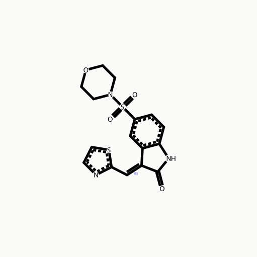 O=C1Nc2ccc(S(=O)(=O)N3CCOCC3)cc2/C1=C\c1nccs1